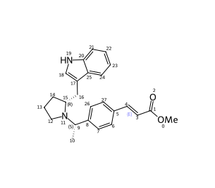 COC(=O)/C=C/c1ccc([C@H](C)N2CCC[C@@H]2Cc2c[nH]c3ccccc23)cc1